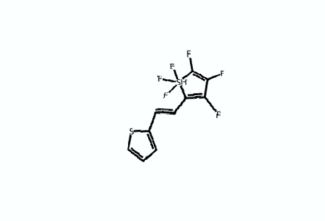 FC1=C(F)[SH](F)(F)(F)C(C=Cc2cccs2)=C1F